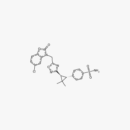 CC1(C)[C@@H](c2ccc(S(N)(=O)=O)cc2)[C@@H]1c1noc(Cn2c(=O)oc3ccc(Cl)cc32)n1